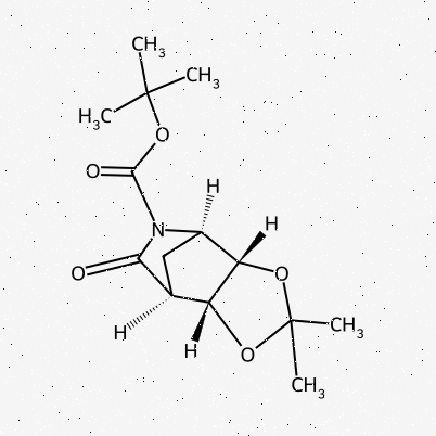 CC(C)(C)OC(=O)N1C(=O)[C@H]2C[C@@H]1[C@@H]1OC(C)(C)O[C@@H]12